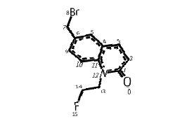 O=c1ccc2cc(CBr)ccc2n1CCF